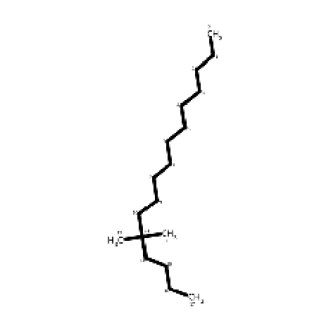 CCCCCCCCC[CH]CC(C)(C)CCCC